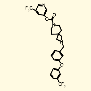 O=C(Oc1cncc(C(F)(F)F)c1)N1CCC2(CC1)CN(Cc1cccc(Oc3cccc(C(F)(F)F)c3)c1)C2